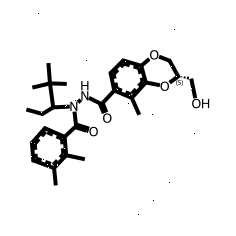 CCC(N(NC(=O)c1ccc2c(c1C)O[C@@H](CO)CO2)C(=O)c1cccc(C)c1C)C(C)(C)C